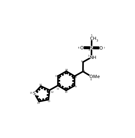 COC(CNS(C)(=O)=O)c1ccc(-c2ccsc2)cc1